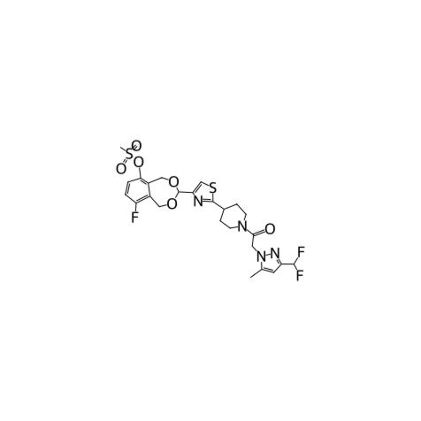 Cc1cc(C(F)F)nn1CC(=O)N1CCC(c2nc(C3OCc4c(F)ccc(OS(C)(=O)=O)c4CO3)cs2)CC1